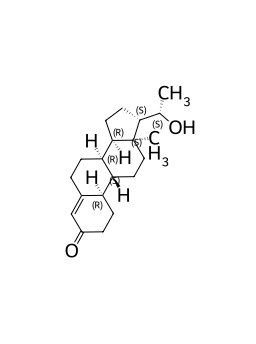 C[C@H](O)[C@H]1CC[C@@H]2[C@@H]3CCC4=CC(=O)CC[C@@H]4[C@H]3CC[C@@]21C